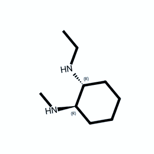 CCN[C@@H]1CCCC[C@H]1NC